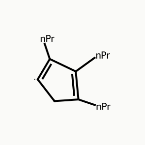 CCCC1=[C]CC(CCC)=C1CCC